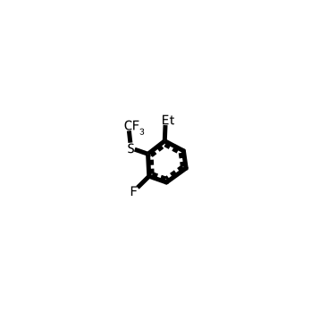 [CH2]Cc1cccc(F)c1SC(F)(F)F